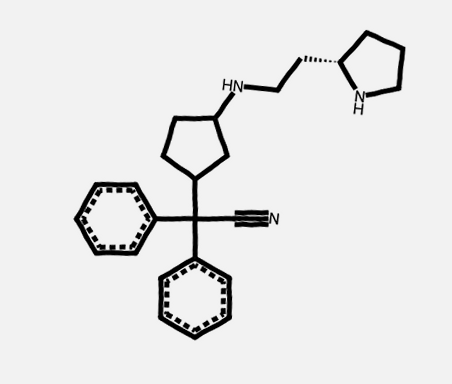 N#CC(c1ccccc1)(c1ccccc1)C1CCC(NCC[C@@H]2CCCN2)C1